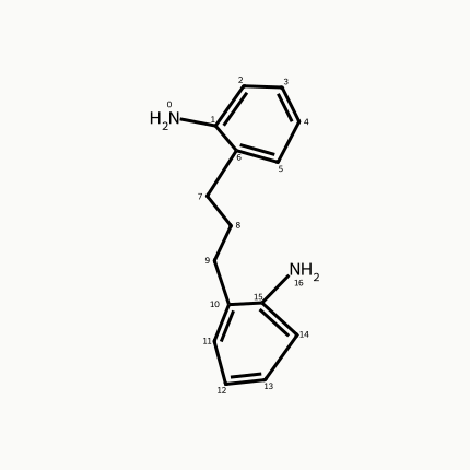 Nc1ccccc1CCCc1ccccc1N